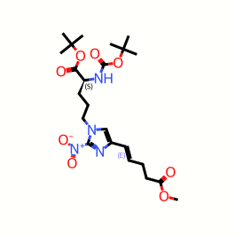 COC(=O)CC/C=C/c1cn(CCC[C@H](NC(=O)OC(C)(C)C)C(=O)OC(C)(C)C)c([N+](=O)[O-])n1